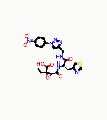 CC[C@]1(C(=O)O)O[C@@H]1C(=O)N[C@@H](Cc1cscn1)C(=O)NCc1cn(-c2ccc([N+](=O)[O-])cc2)nn1